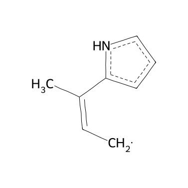 [CH2]/C=C(/C)c1ccc[nH]1